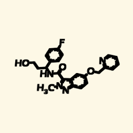 Cn1nc2ccc(OCc3ccccn3)cc2c1C(=O)NC(CCO)c1ccc(F)cc1